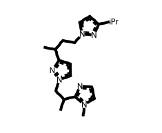 CC(C)c1ccn(CCC(C)c2ccn(CC(C)c3nccn3C)n2)n1